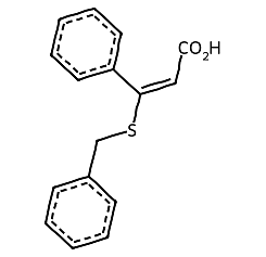 O=C(O)/C=C(/SCc1ccccc1)c1ccccc1